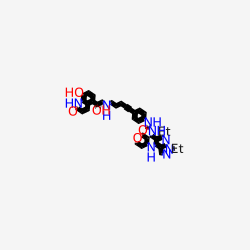 CCc1nc2c(cnn2CC)c(NC2CCOCC2)c1CNC(=O)Nc1ccc(C#CCCCNC[C@H](O)c2ccc(O)c3[nH]c(=O)ccc23)cc1